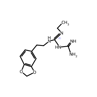 CC/N=C(\NCCc1ccc2c(c1)OCO2)NC(=N)N